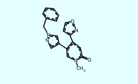 Cn1cc(-c2cnn(Cc3ccccc3)c2)c(-c2ccon2)cc1=O